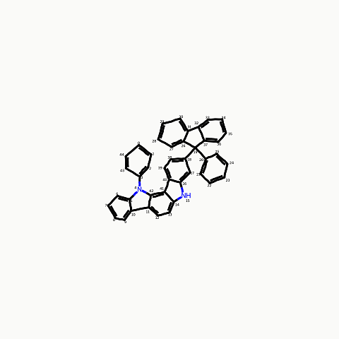 c1ccc(-n2c3ccccc3c3ccc4[nH]c5cc(C6(c7ccccc7)c7ccccc7-c7ccccc76)ccc5c4c32)cc1